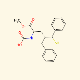 COC(=O)C(C[C@@H](Cc1ccccc1)C(S)c1ccccc1)NC(=O)O